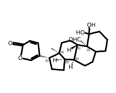 C[C@]12CC[C@H]3[C@@H](CCC4CCCC(O)(O)[C@@]43C=O)[C@H]1CC[C@@H]2c1ccc(=O)oc1